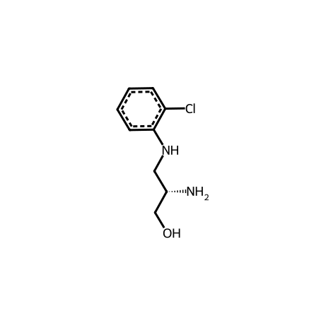 N[C@H](CO)CNc1ccccc1Cl